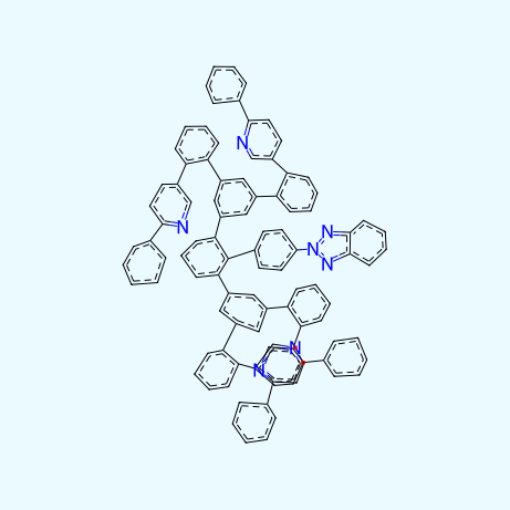 c1ccc(-c2ccc(-c3ccccc3-c3cc(-c4ccccc4-c4ccc(-c5ccccc5)nc4)cc(-c4cccc(-c5cc(-c6ccccc6-c6ccc(-c7ccccc7)nc6)cc(-c6ccccc6-c6ccc(-c7ccccc7)nc6)c5)c4-c4ccc(-n5nc6ccccc6n5)cc4)c3)cn2)cc1